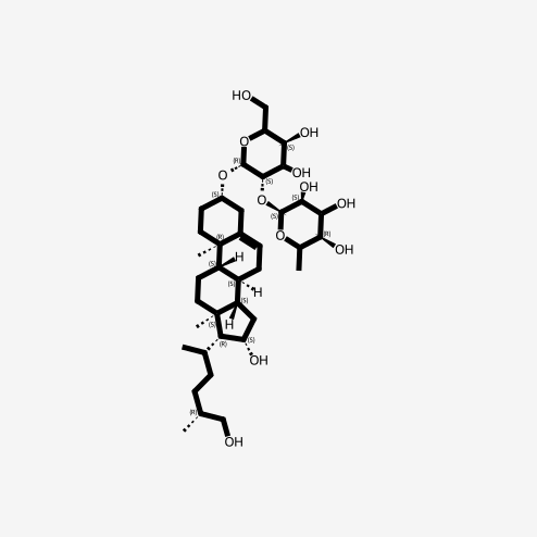 CC1O[C@@H](O[C@H]2C(O)[C@H](O)C(CO)O[C@H]2O[C@H]2CC[C@@]3(C)C(=CC[C@H]4[C@@H]5C[C@H](O)[C@H](C(C)CC[C@@H](C)CO)[C@@]5(C)CC[C@@H]43)C2)[C@@H](O)C(O)[C@H]1O